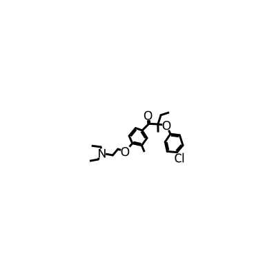 CCN(CC)CCOc1ccc(C(=O)C(C)(CC)Oc2ccc(Cl)cc2)cc1C